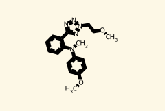 COCCn1nnc(-c2ccccc2N(C)c2ccc(OC)cc2)n1